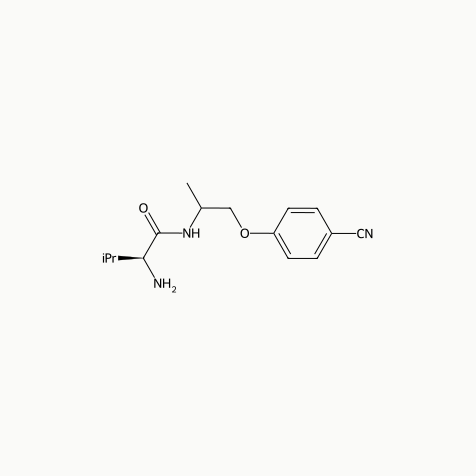 CC(COc1ccc(C#N)cc1)NC(=O)[C@@H](N)C(C)C